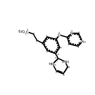 CCOC(=O)CCc1cc(Oc2ccncn2)cc(C2NC=CCN2)c1